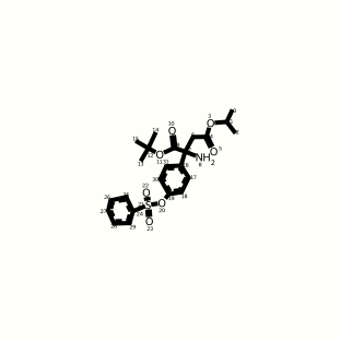 CC(C)OC(=O)CC(N)(C(=O)OC(C)(C)C)c1ccc(OS(=O)(=O)c2ccccc2)cc1